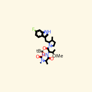 COC(C)C(NC(=O)C(C)N(C)C(=O)OC(C)(C)C)C(=O)N1CCC(C)C1Cc1c[nH]c2cc(F)ccc12